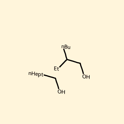 CCCCC(CC)CO.CCCCCCCCO